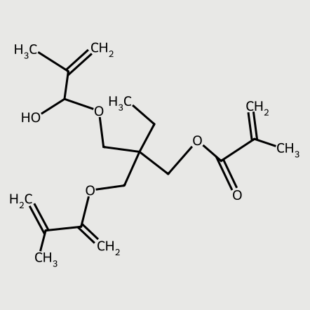 C=C(C)C(=C)OCC(CC)(COC(=O)C(=C)C)COC(O)C(=C)C